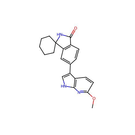 COc1ccc2c(-c3ccc4c(c3)C3(CCCCC3)NC4=O)c[nH]c2n1